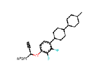 C#CC(CCCCC)Oc1ccc(C2CCC(C3CCC(C)CC3)CC2)c(F)c1F